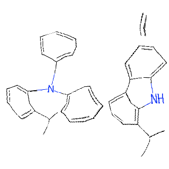 C=C.CC(C)c1cccc2c1[nH]c1ccccc12.CC(C)c1ccccc1N(c1ccccc1)c1ccccc1